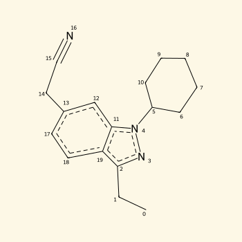 CCc1nn(C2CCCCC2)c2cc(CC#N)ccc12